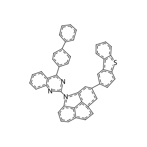 c1ccc(-c2ccc(-c3nc(-n4c5cccc6ccc7cc(-c8ccc9sc%10ccccc%10c9c8)cc4c7c65)nc4ccccc34)cc2)cc1